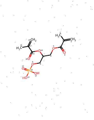 C=C(C)C(=O)OCC(COP(=O)(O)O)OC(=O)C(=C)C